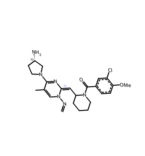 C=NN1C=C(C)C(N2CC[C@H](N)C2)=N/C1=C/C1CCCCN1C(=O)c1ccc(OC)c(Cl)c1